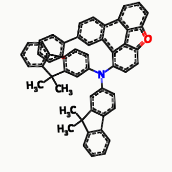 CC1(C)c2ccccc2-c2ccc(N(c3ccc4c(c3)C(C)(C)c3ccccc3-4)c3ccc4oc5cccc6c7ccc(-c8ccccc8)cc7c3c4c56)cc21